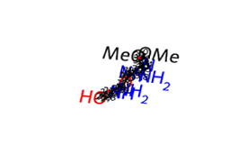 COc1cc2ncc3c(N)nc(-c4cncc(OC[C@@H](N)CNC5CCC(O)CC5)c4)cc3c2cc1OC